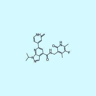 C=C/C=C(\C=C/N)c1cc(C(=O)NCc2c(C)c(F)c(C)[nH]c2=O)c2cnn(C(C)C)c2n1